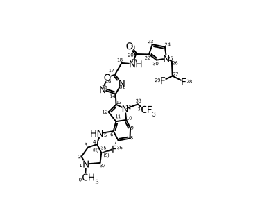 CN1CC[C@@H](Nc2cccc3c2cc(-c2noc(CNC(=O)c4ccn(CC(F)F)c4)n2)n3CC(F)(F)F)[C@@H](F)C1